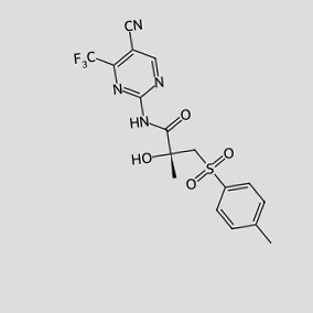 Cc1ccc(S(=O)(=O)C[C@](C)(O)C(=O)Nc2ncc(C#N)c(C(F)(F)F)n2)cc1